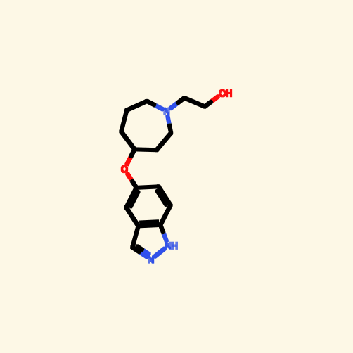 OCCN1CCCC(Oc2ccc3[nH]ncc3c2)CC1